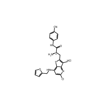 Cc1c(C[C@@H](N)C(=O)Nc2ccc(C#N)cc2)sc2c(NCc3ccco3)cc(Cl)nc12.Cl